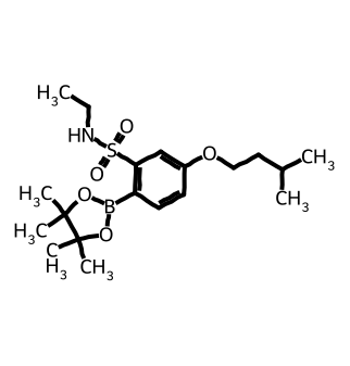 CCNS(=O)(=O)c1cc(OCCC(C)C)ccc1B1OC(C)(C)C(C)(C)O1